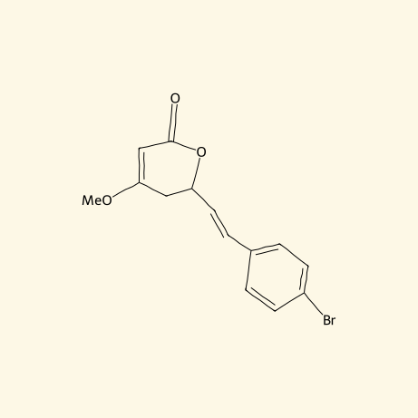 COC1=CC(=O)OC(C=Cc2ccc(Br)cc2)C1